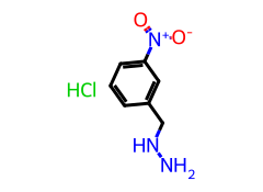 Cl.NNCc1cccc([N+](=O)[O-])c1